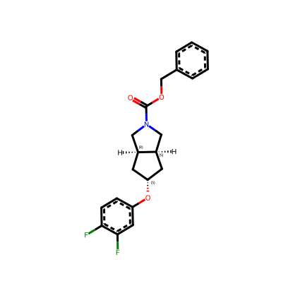 O=C(OCc1ccccc1)N1C[C@H]2C[C@H](Oc3ccc(F)c(F)c3)C[C@H]2C1